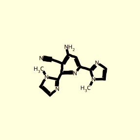 Cn1ccnc1-c1cc(N)c(C#N)c(-c2nccn2C)n1